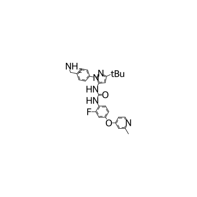 Cc1cc(Oc2ccc(NC(=O)Nc3cc(C(C)(C)C)nn3-c3ccc(CN)cc3)c(F)c2)ccn1